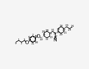 CCCCOc1ccc(OC[C@H]2CC[C@H](CC(C#N)[C@H]3CC[C@H](CCC)CC3)CC2)cc1